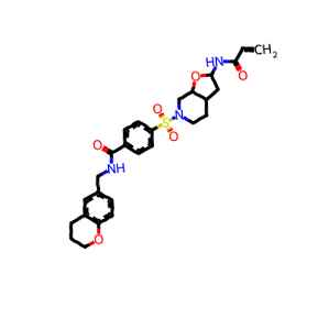 C=CC(=O)NC1CC2CCN(S(=O)(=O)c3ccc(C(=O)NCc4ccc5c(c4)CCCO5)cc3)CC2O1